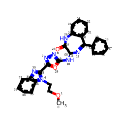 COCCn1c(-c2nnc(N[C@H]3N=C(c4ccccc4)c4ccccc4NC3=O)o2)nc2ccccc21